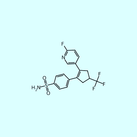 NS(=O)(=O)c1ccc(C2=C(c3ccc(F)nc3)CC(C(F)(F)F)C2)cc1